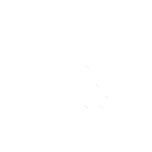 CC(C)CC(N)Cc1nnn[nH]1